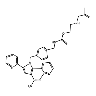 C=C(C)CNCCOC(=O)NCc1ccc(Cn2c(-c3ccccn3)nc3c(N)nc4ccccc4c32)cc1